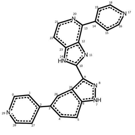 c1cc(-c2ccc3[nH]nc(-c4nc5c(-c6ccncc6)nccc5[nH]4)c3c2)ccn1